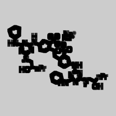 CCCC(O)CN(C)c1nc(Nc2ccccc2)nc(Nc2ccc(C=Cc3ccc(Nc4nc(Nc5ccccc5)nc(N(C)CC(O)CCC)n4)cc3S(=O)(=O)[O-])c(S(=O)(=O)[O-])c2)n1.[Na+].[Na+]